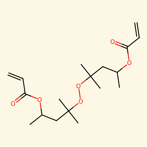 C=CC(=O)OC(C)CC(C)(C)OOC(C)(C)CC(C)OC(=O)C=C